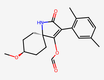 CO[C@H]1CC[C@]2(CC1)NC(=O)C(c1cc(C)ccc1C)=C2OC=O